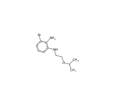 CC(C)OCCNc1cccc(Br)c1N